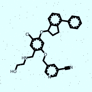 N#Cc1cncc(COc2cc(OC3CCc4c(-c5ccccc5)cccc43)c(Cl)cc2CNCCO)c1